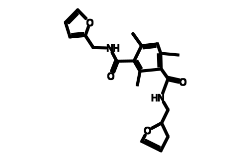 Cc1cc(C)c(C(=O)NCC2CC=CO2)c(C)c1C(=O)NCc1ccco1